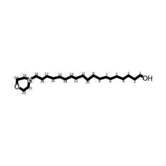 OCCCCCCCCCCCCCCCCCCCN1CCOCC1